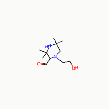 CC1(C)CN(CCO)C(C=O)C(C)(C)N1